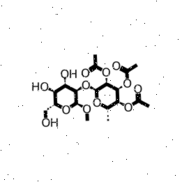 CO[C@H]1O[C@H](CO)[C@@H](O)[C@H](O)[C@H]1O[C@@H]1O[C@@H](C)[C@H](OC(C)=O)[C@@H](OC(C)=O)[C@H]1OC(C)=O